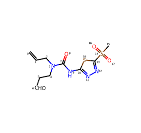 C=CCN(CCC=O)C(=O)Nc1nnc(S(C)(=O)=O)s1